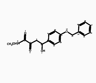 CN(O)C(=O)C(=O)CC(O)c1ccc(OCc2ccccc2)cc1